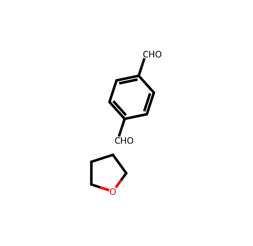 C1CCOC1.O=Cc1ccc(C=O)cc1